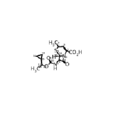 CC1C=C(C(=O)O)N2C(=O)C(NC(=O)OC(C)C3CC3)[C@@H]2S1